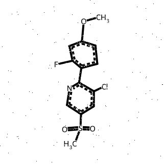 COc1ccc(-c2ncc(S(C)(=O)=O)cc2Cl)c(F)c1